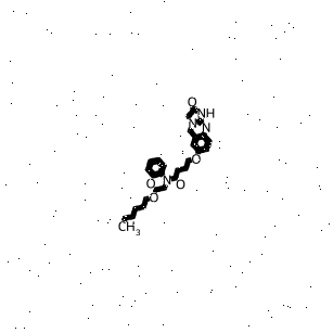 CCCCCCOC(=O)CN(C(=O)CCCOc1ccc2c(c1)CN1CC(=O)NC1=N2)c1ccccc1